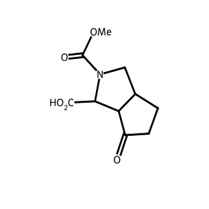 COC(=O)N1CC2CCC(=O)C2C1C(=O)O